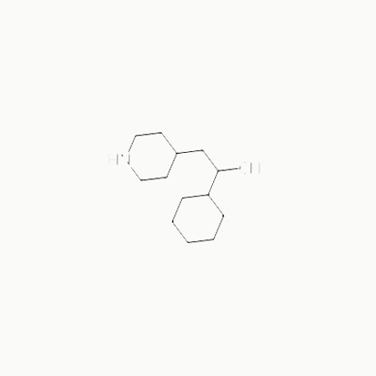 CC(CC1CCNCC1)C1CCCCC1